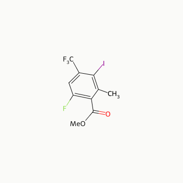 COC(=O)c1c(F)cc(C(F)(F)F)c(I)c1C